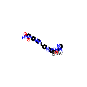 COc1cc2nn(C3CCC(CCN4CCN(c5ccc(N6CCC(=O)NC6=O)cc5)CC4)CC3)cc2cc1C(=O)Nc1cnc2cccnn12